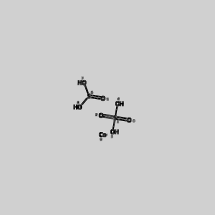 O=S(=O)(O)O.O=S(O)O.[Co]